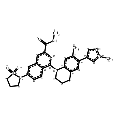 CNC(=O)c1cc2cc(N3CCCS3(=O)=O)ccc2c(N2CCCc3cc(-c4cnn(C)c4)c(C)cc32)n1